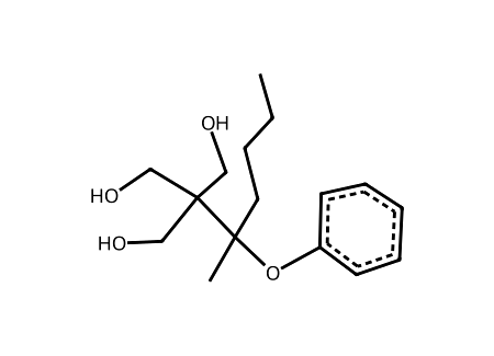 CCCCC(C)(Oc1ccccc1)C(CO)(CO)CO